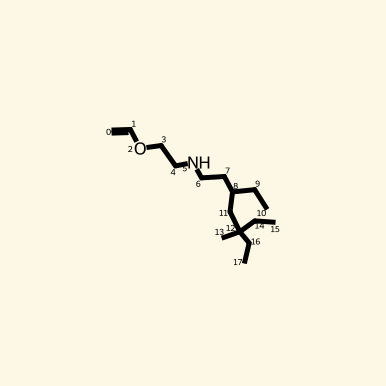 C=COCCNCCC(CC)CC(C)(CC)CC